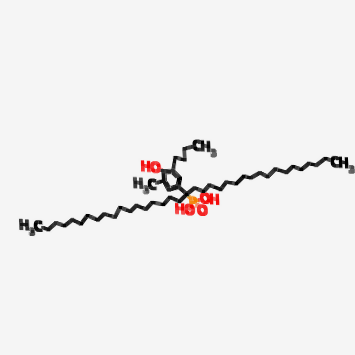 CCCCCCCCCCCCCCCCCCC(CCCCCCCCCCCCCCCCCC)(c1cc(C)c(O)c(CCCC)c1)P(=O)(O)O